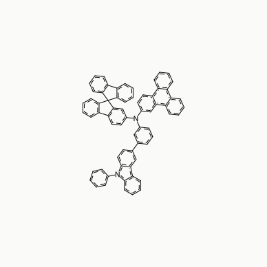 c1ccc(-n2c3ccccc3c3cc(-c4cccc(N(c5ccc6c(c5)C5(c7ccccc7-c7ccccc75)c5ccccc5-6)c5ccc6c7ccccc7c7ccccc7c6c5)c4)ccc32)cc1